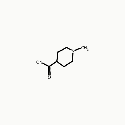 CN1CCC(C(=O)N=O)CC1